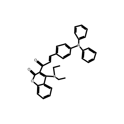 CCN(CC)c1c(C(=O)C=Cc2ccc(N(c3ccccc3)c3ccccc3)cc2)c(=O)oc2ccccc12